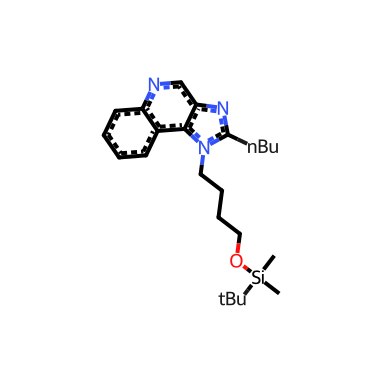 CCCCc1nc2cnc3ccccc3c2n1CCCCO[Si](C)(C)C(C)(C)C